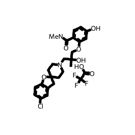 CNC(=O)c1ccc(O)cc1OCC(C)(O)CN1CCC2(CC1)Cc1cc(Cl)ccc1O2.O=C(O)C(F)(F)F